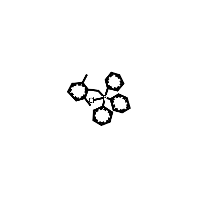 Cc1cccc(C)c1CP(Cl)(c1ccccc1)(c1ccccc1)c1ccccc1